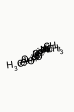 CCOC(=O)CCOc1ccc(S(=O)(=O)c2ccc(N=NN(C)C)cc2)cc1